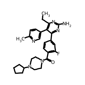 CCc1nc(N)nc(-c2ccc(C(=O)N3CCN(C4CCCC4)CC3)c(F)c2)c1-c1ccc(C)nc1